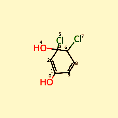 OC1=CC(O)(Cl)C(Cl)C=C1